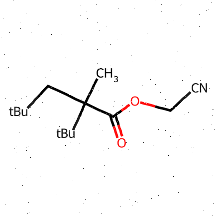 CC(C)(C)CC(C)(C(=O)OCC#N)C(C)(C)C